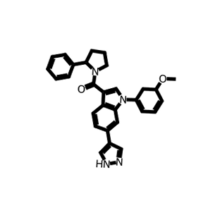 COC1C=CC=C(n2cc(C(=O)N3CCCC3c3ccccc3)c3ccc(-c4cn[nH]c4)cc32)C1